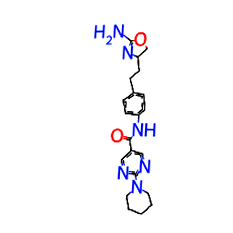 NC1=NC(CCc2ccc(NC(=O)c3cnc(N4CCCCC4)nc3)cc2)CO1